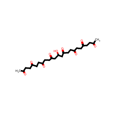 CC(=O)CCC(=O)CCC(=O)CCC(=O)CC(O)CC(=O)CCC(=O)CCC(=O)CCC(C)=O